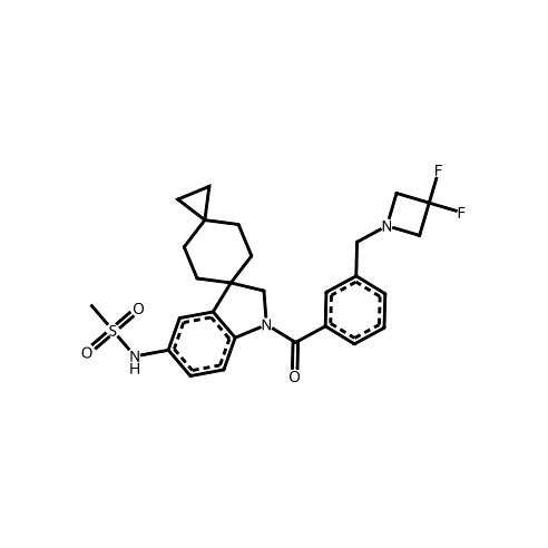 CS(=O)(=O)Nc1ccc2c(c1)C1(CCC3(CC3)CC1)CN2C(=O)c1cccc(CN2CC(F)(F)C2)c1